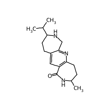 CC1CCc2nc3c(cc2C(=O)N1)CCC(C(C)C)NC3